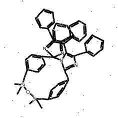 C[Si]1(C)O[Si](C)(C)c2ccc(cc2)C2(N=C(c3ccccc3)C(c3ccccc3)=N2)n2c(nc(-c3ccccc3)c2-c2ccccc2)-c2ccc1cc2